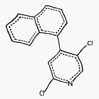 Clc1cc(-c2cccc3ccccc23)c(Cl)cn1